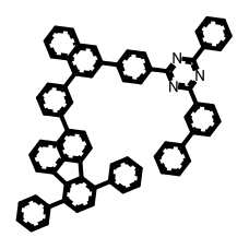 c1ccc(-c2cccc(-c3nc(-c4ccccc4)nc(-c4ccc(-c5cc(-c6cccc(-c7ccc8c9c(cccc79)-c7c(-c9ccccc9)ccc(-c9ccccc9)c7-8)c6)c6ccccc6c5)cc4)n3)c2)cc1